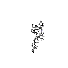 N#Cc1cnc(N2CCN(C(=O)c3cccc(O/C=C/[C@@H]4c5ccccc5CN4c4cn[nH]c(=O)c4C(F)(F)F)c3)CC2)cn1